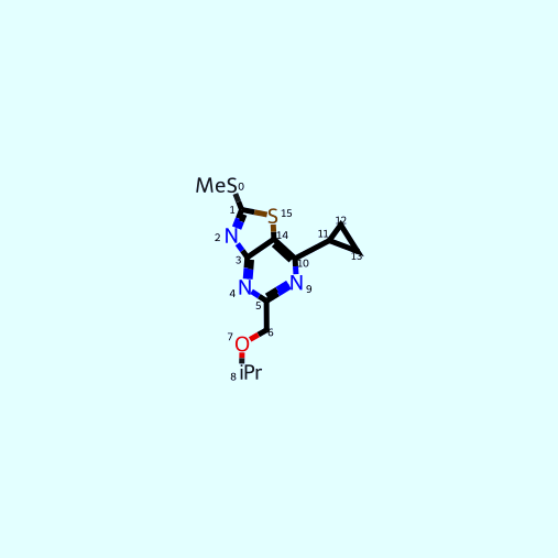 CSc1nc2nc(COC(C)C)nc(C3CC3)c2s1